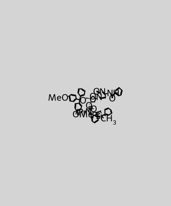 COc1ccc(C(OC[C@H]2O[C@@H](n3ccc(NC(=O)c4ccccc4)nc3=O)C[C@@H]2OP(OCC[Si](C)(c2ccccc2)c2ccccc2)N(C(C)C)C(C)C)(c2ccccc2)c2ccc(OC)cc2)cc1